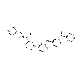 Cc1ccc(CNC(=O)[C@H]2CCCN(c3ccnc(Nc4cccc(C(=O)c5ccccc5)c4)n3)C2)cc1